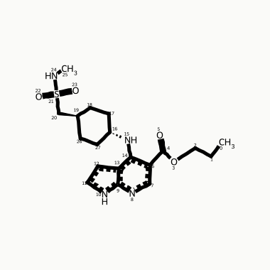 CCCOC(=O)c1cnc2[nH]ccc2c1N[C@H]1CC[C@H](CS(=O)(=O)NC)CC1